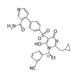 CC[C@@H](c1cccc(C#N)c1)n1c(CC2CC2)nc(=O)c(S(=O)(=O)c2ccc(-c3ccncc3C(N)=O)cc2)c1O